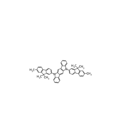 Cc1ccc2c(c1)C(C)(C)c1cc(-n3c4ccccc4c4cc5c(cc43)c3ccccc3n5-c3ccc4c(c3)C(C)(C)c3cc(C)ccc3-4)ccc1-2